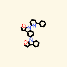 c1ccc(-c2cccc(-n3c4ccc(-n5c6ccccc6c6ccoc65)cc4c4ccoc43)n2)cc1